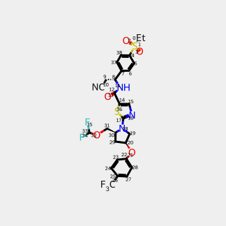 CCS(=O)(=O)c1ccc([C@@H](CC#N)NC(=O)c2cnc(N3C[C@@H](Oc4ccc(C(F)(F)F)cc4)C[C@H]3COC(F)F)s2)cc1